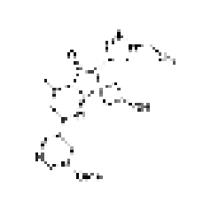 COC1=CN=CC(C2CC(C)C3C(=O)N(C4C=NN(CC(F)(F)F)C4)C4(CC(O)C4)C3=N2)C1